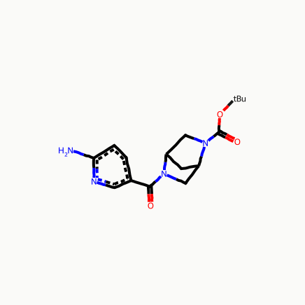 CC(C)(C)OC(=O)N1CC2CC1CN2C(=O)c1ccc(N)nc1